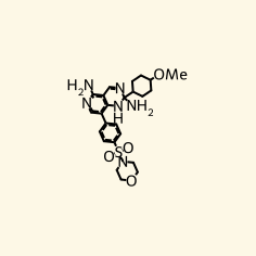 COC1CCC(C2(N)N=Cc3c(N)ncc(-c4ccc(S(=O)(=O)N5CCOCC5)cc4)c3N2)CC1